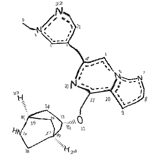 Cn1cc(-c2cn3nccc3c(O[C@H]3C[C@H]4C[C@@H]3CN4)n2)cn1